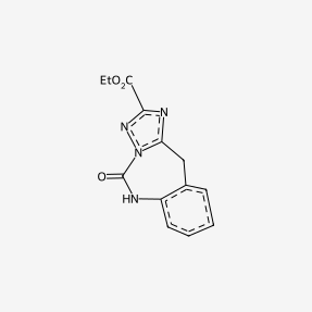 CCOC(=O)c1nc2n(n1)C(=O)Nc1ccccc1C2